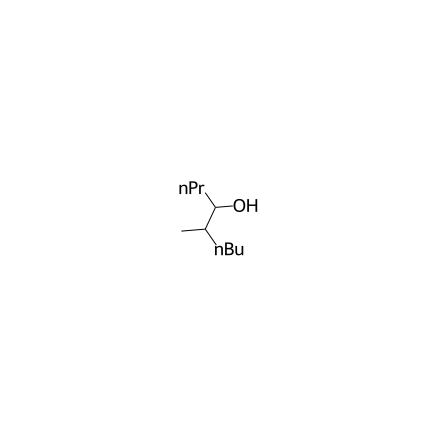 [CH2]CCC(O)C(C)CCCC